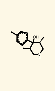 Cc1ccc(C2(O)[C@H](C)CNC[C@@H]2C)cc1